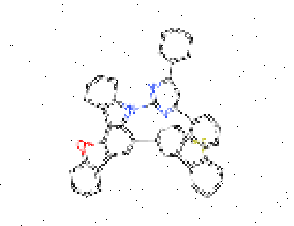 c1ccc(-c2cc(-c3ccccc3)nc(-n3c4ccccc4c4c5oc6ccccc6c5cc(-c5ccc6sc7ccccc7c6c5)c43)n2)cc1